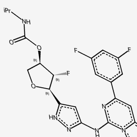 CC(C)NC(=O)O[C@@H]1CO[C@H](c2cc(Nc3nc(-c4cc(F)cc(F)c4)cc4nccn34)n[nH]2)[C@H]1F